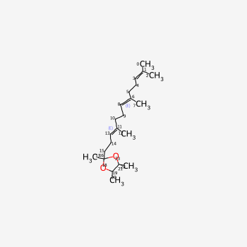 CC(C)=CCC/C(C)=C/CC/C(C)=C/CCC1(C)OC(C)C(C)O1